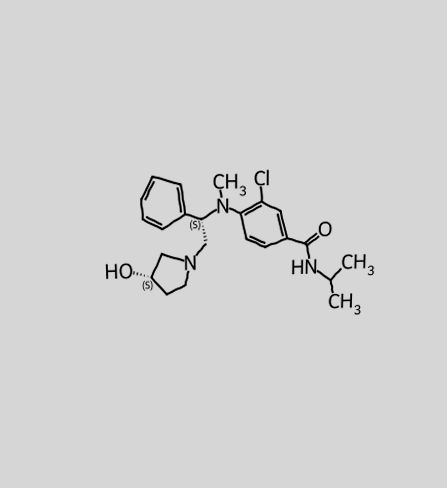 CC(C)NC(=O)c1ccc(N(C)[C@H](CN2CC[C@H](O)C2)c2ccccc2)c(Cl)c1